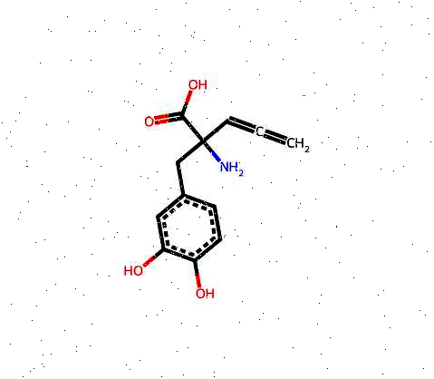 C=C=CC(N)(Cc1ccc(O)c(O)c1)C(=O)O